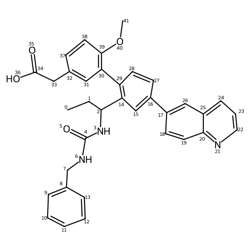 CCC(NC(=O)NCc1ccccc1)c1cc(-c2ccc3ncccc3c2)ccc1-c1cc(CC(=O)O)ccc1OC